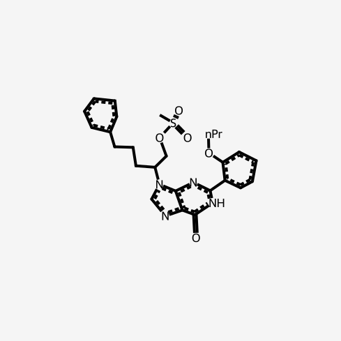 CCCOc1ccccc1-c1nc2c(ncn2C(CCCc2ccccc2)COS(C)(=O)=O)c(=O)[nH]1